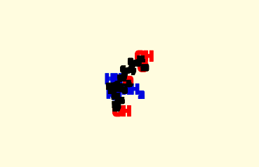 Nc1c(NC(=O)CCCC(=O)O)cnn1CCO